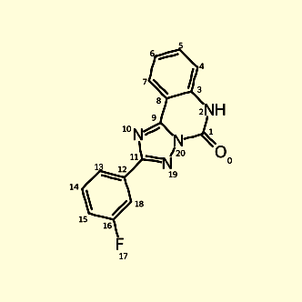 O=c1[nH]c2ccccc2c2nc(-c3cccc(F)c3)nn12